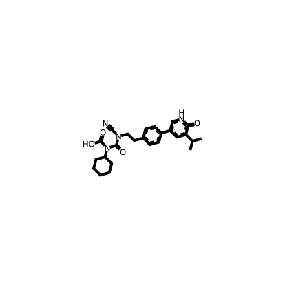 CC(C)c1cc(-c2ccc(CCN(C#N)C(=O)N(C(=O)O)C3CCCCC3)cc2)c[nH]c1=O